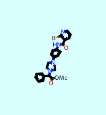 COC(=O)C(c1ccccc1)N1CCN(c2ccc(NC(=O)c3cccnc3Br)cc2)CC1